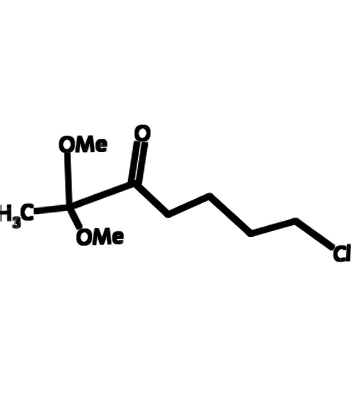 COC(C)(OC)C(=O)CCCCCl